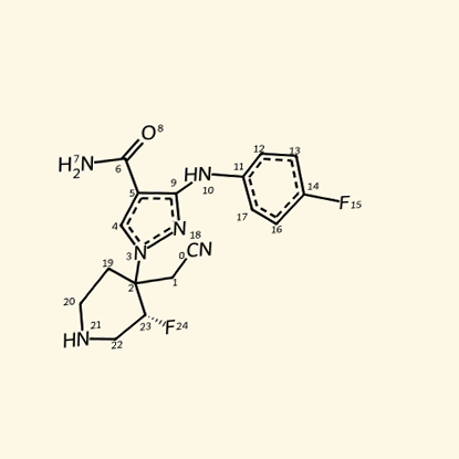 N#CCC1(n2cc(C(N)=O)c(Nc3ccc(F)cc3)n2)CCNC[C@H]1F